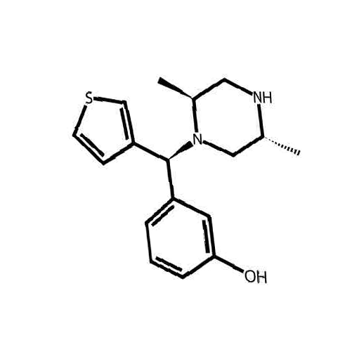 C[C@@H]1CN([C@H](c2ccsc2)c2cccc(O)c2)[C@@H](C)CN1